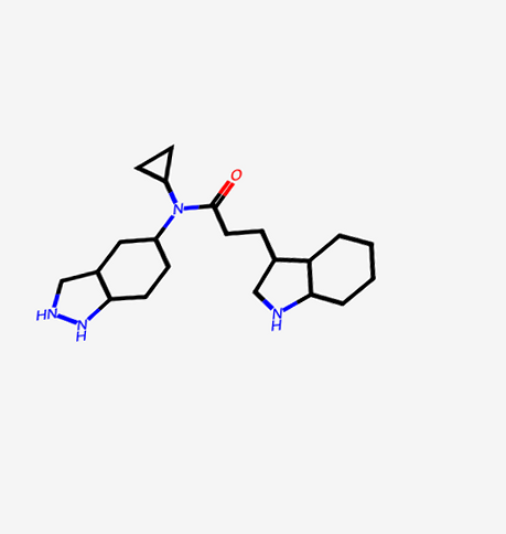 O=C(CCC1CNC2CCCCC12)N(C1CC1)C1CCC2NNCC2C1